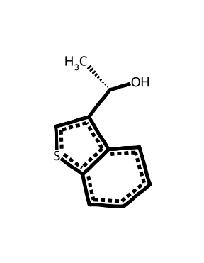 C[C@H](O)c1csc2ccccc12